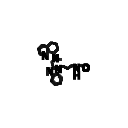 CN(Cc1nc2ccccc2n1CCCNC=O)C1CCCc2cccnc21